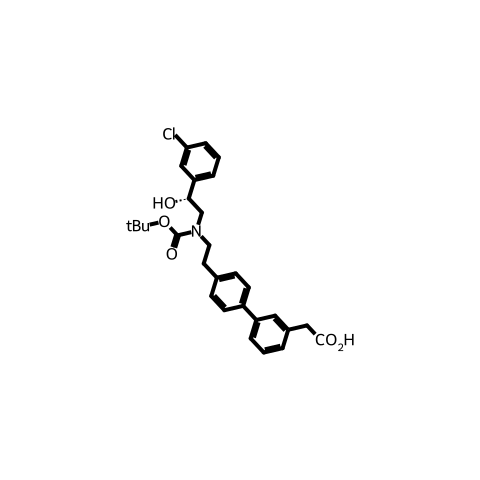 CC(C)(C)OC(=O)N(CCc1ccc(-c2cccc(CC(=O)O)c2)cc1)C[C@H](O)c1cccc(Cl)c1